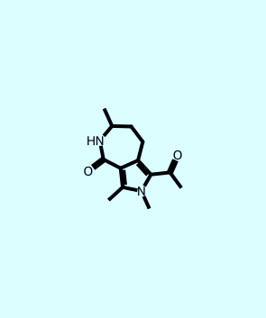 CC(=O)c1c2c(c(C)n1C)C(=O)NC(C)CC2